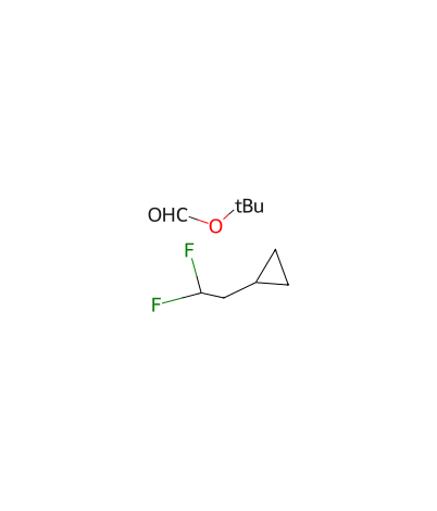 CC(C)(C)OC=O.FC(F)CC1CC1